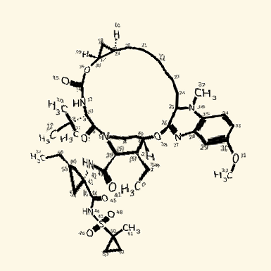 CC[C@@H]1[C@@H]2CN(C(=O)[C@H](C(C)(C)C)NC(=O)O[C@@H]3C[C@H]3CCCCCC3C(=Nc4cc(OC)ccc4N3C)O2)[C@@H]1C(=O)N[C@]1(C(=O)NS(=O)(=O)C2(C)CC2)C[C@H]1CC